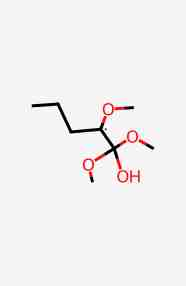 CCC[C](OC)C(O)(OC)OC